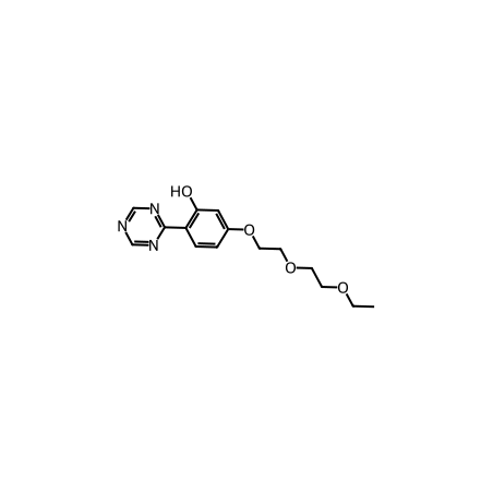 CCOCCOCCOc1ccc(-c2ncncn2)c(O)c1